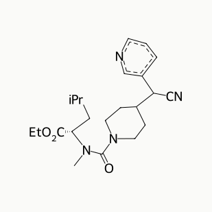 CCOC(=O)[C@H](CC(C)C)N(C)C(=O)N1CCC(C(C#N)c2cccnc2)CC1